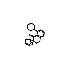 O=C1c2c(cccc2C2CCCCC2)CCC12CC1=CCC2C1